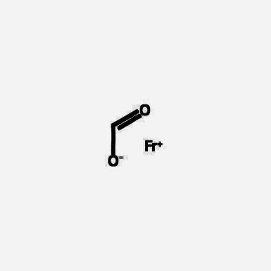 O=C[O-].[Fr+]